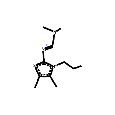 CCC[n+]1c(/N=C/N(C)C)sc(C)c1C